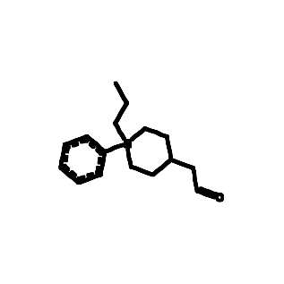 CCC[Si]1(c2ccccc2)CCC(CC=O)CC1